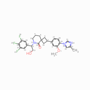 COc1cc(C2CC3(CCCN(C(CO)c4cc(F)c(F)c(F)c4)C3=O)C2)ccc1-n1cnc(C)c1